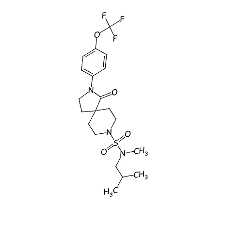 CC(C)CN(C)S(=O)(=O)N1CCC2(CCN(c3ccc(OC(F)(F)F)cc3)C2=O)CC1